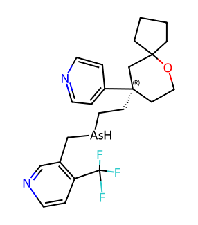 FC(F)(F)c1ccncc1C[AsH]CC[C@@]1(c2ccncc2)CCOC2(CCCC2)C1